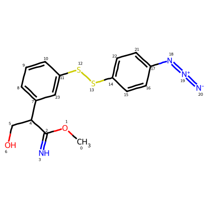 COC(=N)C(CO)c1cccc(SSc2ccc(N=[N+]=[N-])cc2)c1